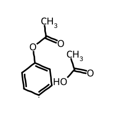 CC(=O)O.CC(=O)Oc1cc[c]cc1